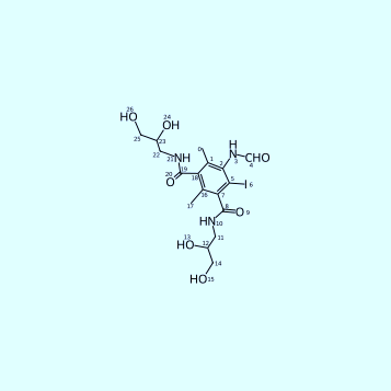 Cc1c(NC=O)c(I)c(C(=O)NCC(O)CO)c(C)c1C(=O)NCC(O)CO